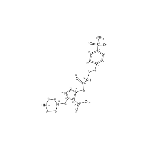 NS(=O)(=O)c1ccc(CCNC(=O)Cn2cnc(CN3CCNCC3)c2[N+](=O)[O-])cc1